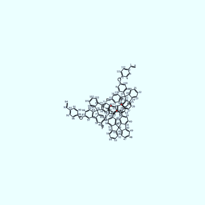 C=Cc1ccc(Oc2ccc(C3(c4ccc(F)cc4)c4ccccc4-c4ccc(N(c5ccc(F)c(F)c5)c5ccc6c(c5)C5(c7ccccc7-6)c6ccccc6-c6ccc(N(c7ccc(F)c(F)c7)c7ccc8c(c7)C(c7ccc(F)cc7)(c7ccc(Oc9ccc(C=C)cc9)cc7)c7ccccc7-8)cc65)cc43)cc2)cc1